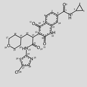 O=C(NC1CC1)c1ccc2c(=O)n(C(CC3CCOCC3)C(=O)Nc3ncc(Cl)s3)c(=O)[nH]c2c1